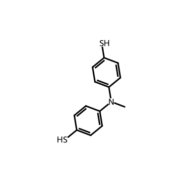 CN(c1ccc(S)cc1)c1ccc(S)cc1